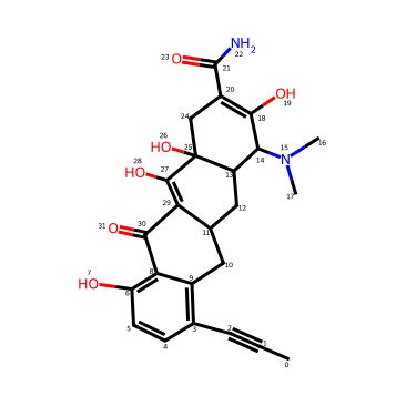 CC#Cc1ccc(O)c2c1CC1CC3C(N(C)C)C(O)=C(C(N)=O)CC3(O)C(O)=C1C2=O